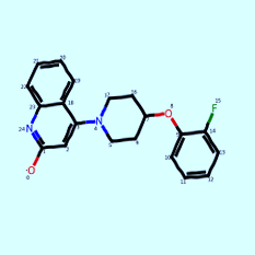 [O]c1cc(N2CCC(Oc3ccccc3F)CC2)c2ccccc2n1